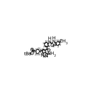 Cc1ccc(F)c(NC(=O)Nc2cccc(C(=O)c3cn(C4CCN(C(=O)OC(C)(C)C)CC4)c4ncnc(N)c34)c2)c1